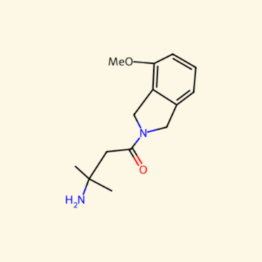 COc1cccc2c1CN(C(=O)CC(C)(C)N)C2